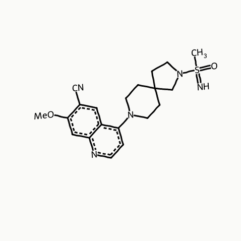 COc1cc2nccc(N3CCC4(CC3)CCN(S(C)(=N)=O)C4)c2cc1C#N